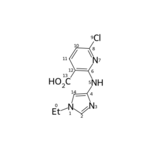 CCn1cnc(Nc2nc(Cl)ccc2C(=O)O)c1